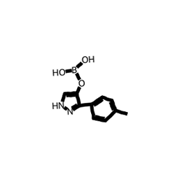 Cc1ccc(-c2n[nH]cc2OB(O)O)cc1